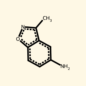 Cc1noc2ccc(N)cc12